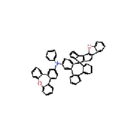 c1ccc(N(c2ccc3c(c2)-c2ccccc2Oc2ccccc2-3)c2ccc3c(c2)-c2ccccc2-c2ccccc2C32c3ccccc3-c3c2ccc2c3oc3ccccc32)cc1